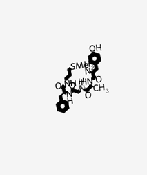 CSCCCNC(=O)[C@H](Cc1ccccc1)NC(=O)CNC(=O)[C@@H](C)NC(=O)[C@@H](N)Cc1ccc(O)cc1